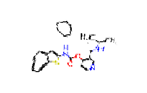 C1CCCCC1.CC(C)NCc1cnccc1OC(=O)Nc1cc2ccccc2s1